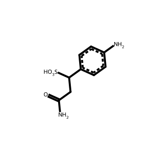 NC(=O)CC(c1ccc(N)cc1)S(=O)(=O)O